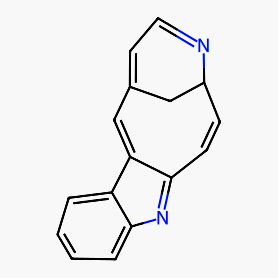 C1=NC2/C=C\C3=Nc4ccccc4/C3=C/C(=C1)C2